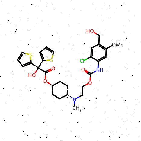 COc1cc(NC(=O)OCCN(C)[C@H]2CC[C@H](OC(=O)C(O)(c3cccs3)c3cccs3)CC2)c(Cl)cc1CO